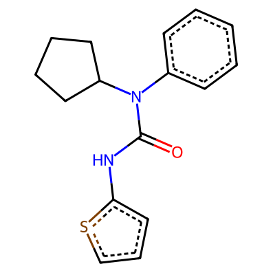 O=C(Nc1cccs1)N(c1ccccc1)C1CCCC1